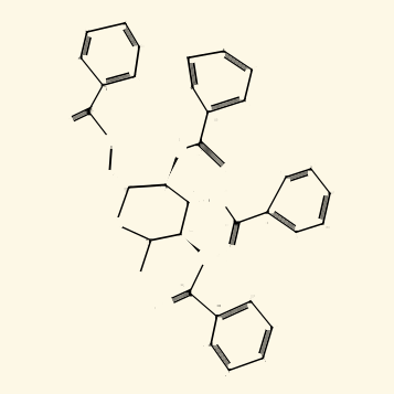 CC1O[C@H](COC(=O)c2ccccc2)[C@@H](OC(=O)c2ccccc2)[C@H](OC(=O)c2ccccc2)[C@H]1OC(=O)c1ccccc1